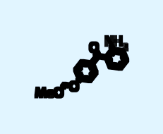 COCOc1ccc(C(=O)c2ccccc2N)cc1